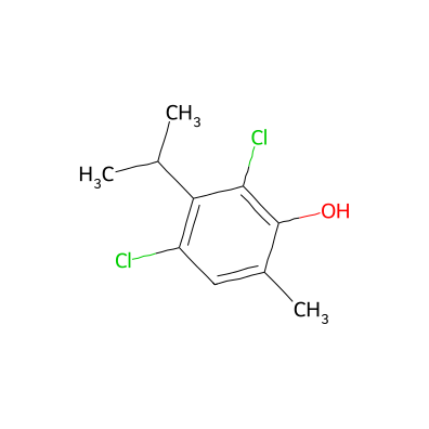 Cc1cc(Cl)c(C(C)C)c(Cl)c1O